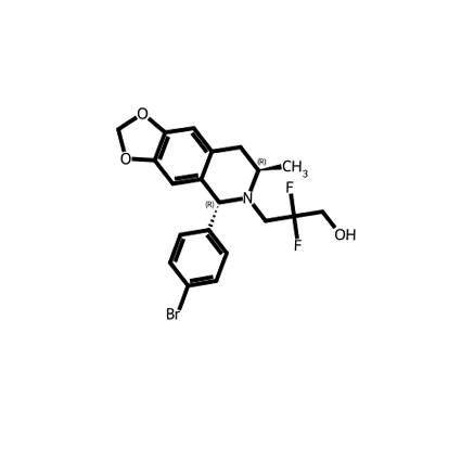 C[C@@H]1Cc2cc3c(cc2[C@@H](c2ccc(Br)cc2)N1CC(F)(F)CO)OCO3